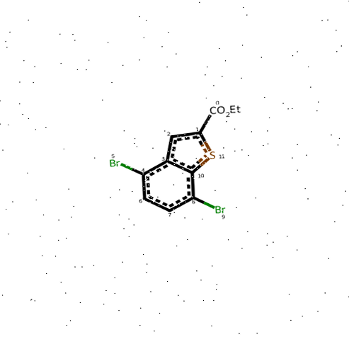 CCOC(=O)c1cc2c(Br)ccc(Br)c2s1